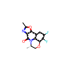 Cc1nc2c(=O)n3c4c(c(F)c(F)cc4c2o1)OC[C@@H]3C